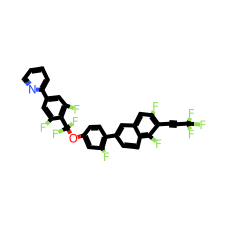 Fc1cc(OC(F)(F)c2c(F)cc(-c3ccccn3)cc2F)ccc1-c1ccc2c(F)c(C#CC(F)(F)F)c(F)cc2c1